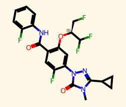 Cn1c(C2CC2)nn(-c2cc(O[C@@H](CF)C(F)F)c(C(=O)Nc3ccccc3F)cc2F)c1=O